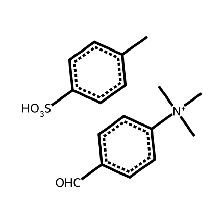 C[N+](C)(C)c1ccc(C=O)cc1.Cc1ccc(S(=O)(=O)O)cc1